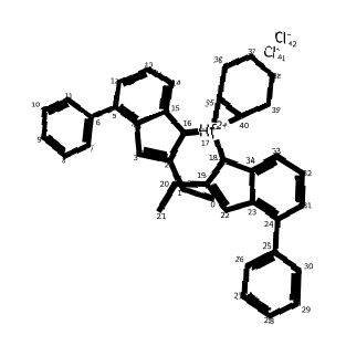 CCC1=Cc2c(-c3ccccc3)cccc2[CH]1[Hf+2]1([CH]2C(CC)=Cc3c(-c4ccccc4)cccc32)[CH]2CCCC[CH]21.[Cl-].[Cl-]